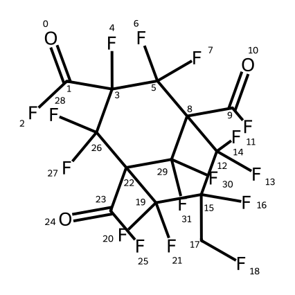 O=C(F)C1(F)C(F)(F)C2(C(=O)F)C(F)(F)C(F)(CF)C(F)(F)C(C(=O)F)(C1(F)F)C2(F)F